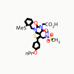 CCCOc1ccc(-c2sc3c(c2CNS(C)(=O)=O)c(=O)n(CC(=O)O)c(=O)n3Cc2ccccc2SC)cc1